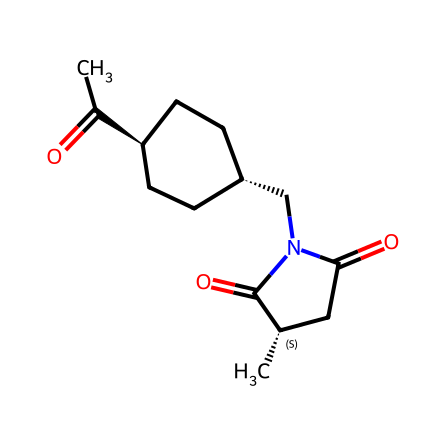 CC(=O)[C@H]1CC[C@H](CN2C(=O)C[C@H](C)C2=O)CC1